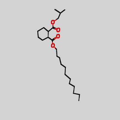 CCCCCCCCCCCCOC(=O)C1CCCCC1C(=O)OCC(C)C